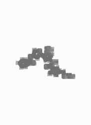 COCc1cc(C(=O)Nc2cc(C3CC(OC(=O)N4C5CCC4CC5)CO3)n(C(C)(C)C)n2)n(C)n1